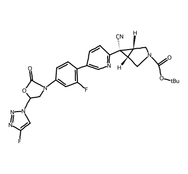 CC(C)(C)OC(=O)N1C[C@@H]2[C@H](C1)[C@@]2(C#N)c1ccc(-c2ccc(N3CC(n4cc(F)nn4)OC3=O)cc2F)cn1